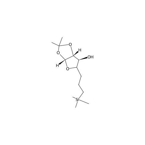 CC1(C)O[C@H]2OC(CCC[Si](C)(C)C)[C@H](O)[C@H]2O1